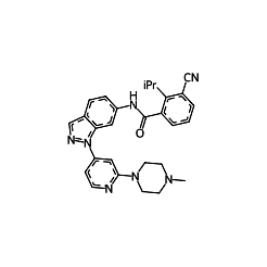 CC(C)c1c(C#N)cccc1C(=O)Nc1ccc2cnn(-c3ccnc(N4CCN(C)CC4)c3)c2c1